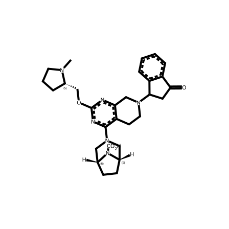 CN1CCC[C@H]1COc1nc2c(c(N3C[C@H]4CC[C@@H](C3)N4C(=O)O)n1)CCN(C1CC(=O)c3ccccc31)C2